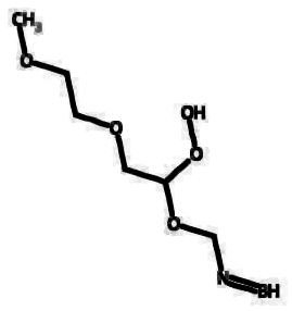 B=NCOC(COCCOC)OO